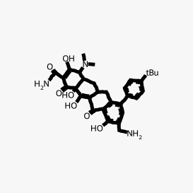 CN(C)C1C(O)=C(C(N)=O)C(=O)C2(O)C(O)=C3C(=O)c4c(O)c(CN)cc(-c5ccc(C(C)(C)C)cc5)c4CC3CC12